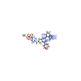 CS(=O)(=O)N1CCN(CC2CC3NC(c4cccc5c4CNN5)NC(N4CCOCC4)C3S2)CC1